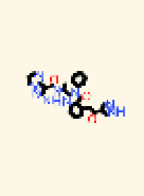 CC(NC(=O)c1c(N)nn2cccnc12)c1nc2cccc(CC(=O)c3cn[nH]c3)c2c(=O)n1-c1ccccc1